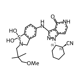 COCC(C)(C)CN1Cc2cc(Nc3nn([C@H]4CCCC[C@@H]4C#N)c4cc[nH]c(=O)c34)ccc2S1(O)O